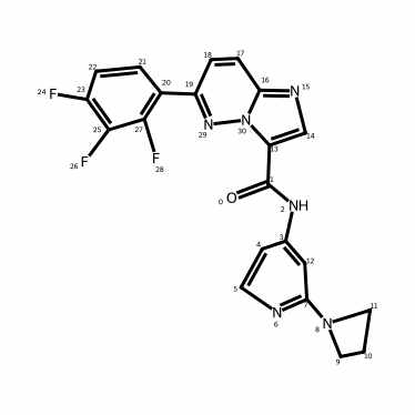 O=C(Nc1ccnc(N2CCC2)c1)c1cnc2ccc(-c3ccc(F)c(F)c3F)nn12